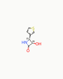 O=C1N[C@@H](c2ccsc2)[C@H]1O